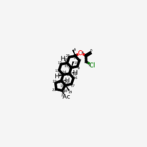 C=C(CCl)O[C@]1(C)CC[C@@]2(C)[C@@H](CC[C@@H]3[C@@H]2CC[C@]2(C)[C@@H](C(C)=O)CC[C@@H]32)C1